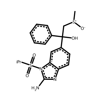 CC(C)S(=O)(=O)n1c(N)nc2ccc(C(O)(C[S+](C)[O-])c3ccccc3)cc21